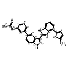 Cc1ccc(-c2cccc3[nH]c(-c4n[nH]c5ccc(-c6cncc(NC(=O)C(C)(C)C)c6)nc45)nc23)s1